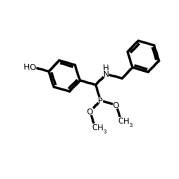 COP(OC)C(NCc1ccccc1)c1ccc(O)cc1